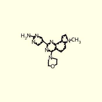 Cn1ccc2c3nc(-c4cnc(N)nc4)nc(N4CCOCC4)c3ccc21